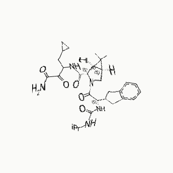 CC(C)NC(=O)N[C@H](C(=O)N1C[C@H]2[C@@H]([C@H]1C(=O)NC(CC1CC1)C(=O)C(N)=O)C2(C)C)C1Cc2ccccc2C1